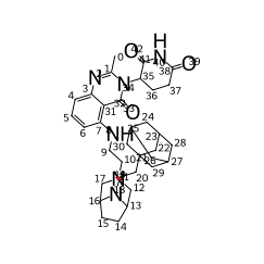 Cc1nc2cccc(NCCN3CC4CCC(C3)N4CCC34CC5CC(CC(C5)C3)C4)c2c(=O)n1C1CCC(=O)NC1=O